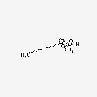 CCCCCCCCCCCCCCCc1ccccc1OC(C)OCC(=O)O